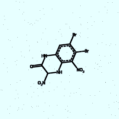 O=C1Nc2cc(Br)c(Br)c([N+](=O)[O-])c2NC1[N+](=O)[O-]